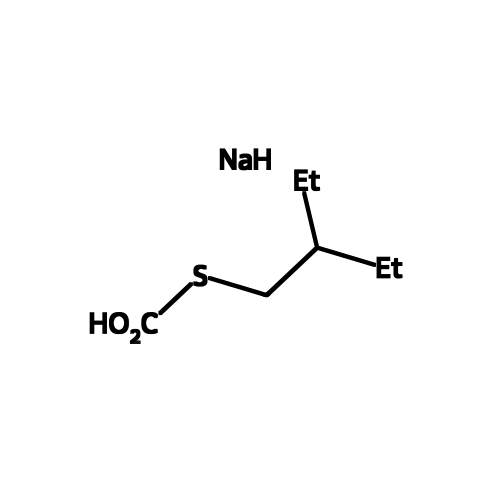 CCC(CC)CSC(=O)O.[NaH]